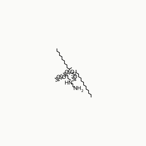 CCCCCCCCCCCCC(C)[Si](C)(O[Si](C)(C)C)O[Si](C)(O[Si](C)(CCCNCCN)O[Si](C)(C)O[Si](C)(C)C)C(C)CCCCCCCCCC